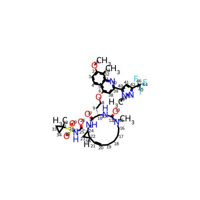 COc1ccc2c(OCC[C@@H]3NC(=O)N(C)CCCCC=C[C@@H]4C[C@@]4(C(=O)NS(=O)(=O)C4(C)CC4)NC3=O)cc(-c3cc(C(F)(F)F)nn3C)nc2c1C